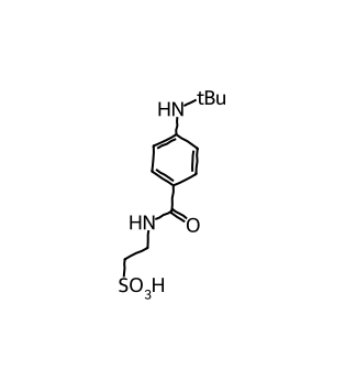 CC(C)(C)Nc1ccc(C(=O)NCCS(=O)(=O)O)cc1